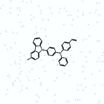 C=Cc1ccc(N(c2ccccc2)c2ccc(-n3c4ccccc4c4cc(C)ccc43)cc2)cc1